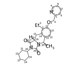 CCc1c(OCc2ccccn2)ccc2c1C[C@H]1C(=O)N(C3CCCCC3)C(=O)N1[C@@H]2C